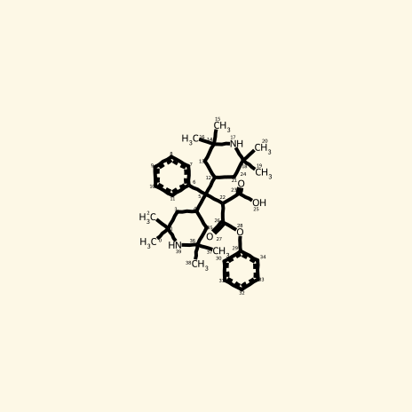 CC1(C)CC(C(c2ccccc2)(C2CC(C)(C)NC(C)(C)C2)C(C(=O)O)C(=O)Oc2ccccc2)CC(C)(C)N1